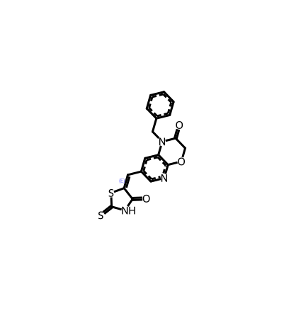 O=C1NC(=S)S/C1=C/c1cnc2c(c1)N(Cc1ccccc1)C(=O)CO2